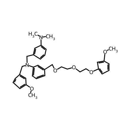 COc1cccc(CN(Cc2cccc(N(C)C)c2)c2cccc(COCCOCCOc3cccc(OC)c3)c2)c1